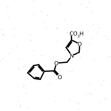 O=C(O)C1=CN(COC(=O)c2ccccc2)CO1